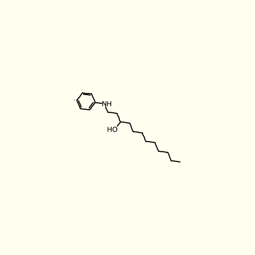 CCCCCCCCCC(O)CCNc1cc[c]cc1